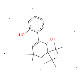 CC1(C)C=C(c2ccccc2O)C(O)C(C(C)(C)C)(C(C)(C)C)C1